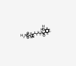 NS(=O)(=O)c1nnc(CCCCNC(=O)c2ccccc2O)s1